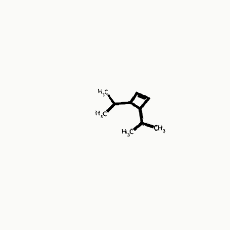 CC(C)C1C=CC1C(C)C